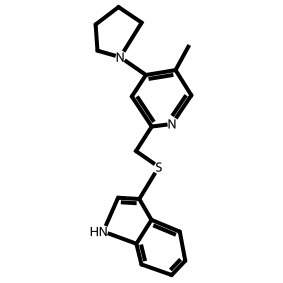 Cc1cnc(CSc2c[nH]c3ccccc23)cc1N1CCCC1